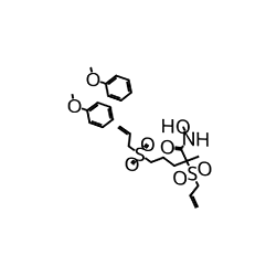 C=CCS(=O)(=O)CCCC(C)(C(=O)NO)S(=O)(=O)CC=C.COc1ccccc1.COc1ccccc1